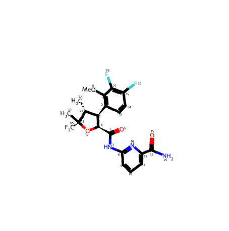 COc1c([C@H]2[C@@H](C(=O)Nc3cccc(C(N)=O)n3)O[C@](C)(C(F)(F)F)[C@@H]2C)ccc(F)c1F